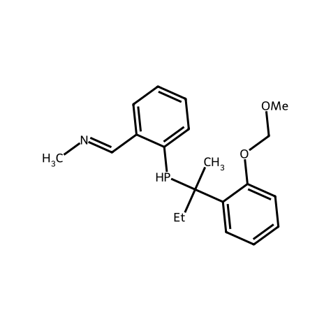 CCC(C)(Pc1ccccc1/C=N/C)c1ccccc1OCOC